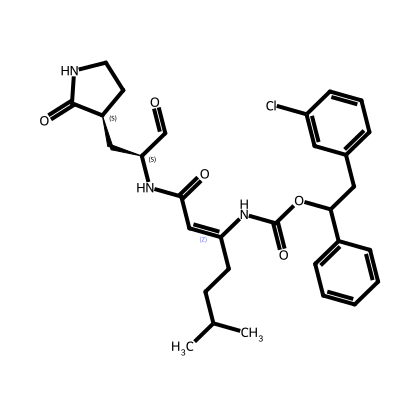 CC(C)CC/C(=C/C(=O)N[C@H](C=O)C[C@@H]1CCNC1=O)NC(=O)OC(Cc1cccc(Cl)c1)c1ccccc1